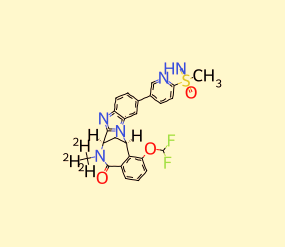 [2H]C([2H])([2H])N1C(=O)c2cccc(OC(F)F)c2[C@H]2C[C@@H]1c1nc3ccc(-c4ccc(S(C)(=N)=O)nc4)cc3n12